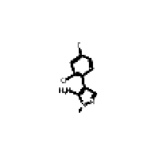 Cn1ncc(-c2ccc(F)cc2Cl)c1N